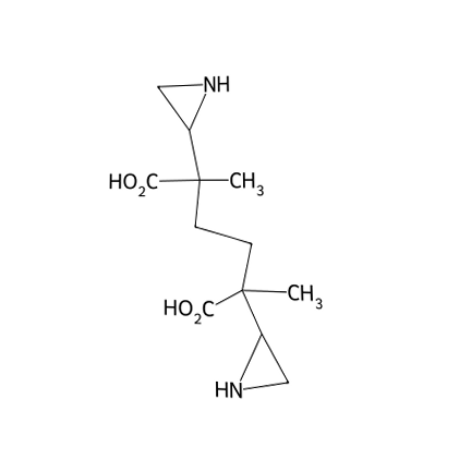 CC(CCC(C)(C(=O)O)C1CN1)(C(=O)O)C1CN1